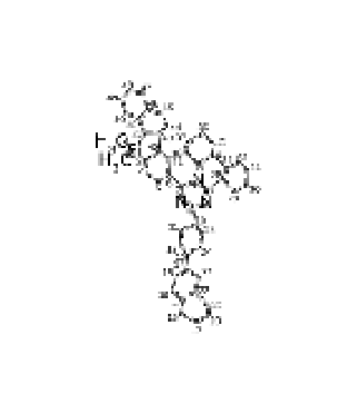 C[Si]1(C)c2ccc(-c3nc(-c4ccc(-c5ccc6ccccc6c5)cc4)nc(-c4ccccc4-c4ccccc4)n3)cc2-c2ccc3ccccc3c21